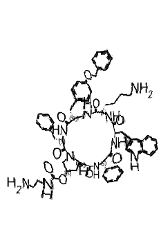 NCCCC[C@@H]1NC(=O)C(Cc2c[nH]c3ccccc23)NC(=O)[C@H](c2ccccc2)NC(=O)[C@@H]2C[C@@H](OC(=O)NCCN)CN2C(=O)[C@H](Cc2ccccc2)NC(=O)[C@H](Cc2ccc(OCc3ccccc3)cc2)NC1=O